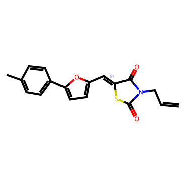 C=CCN1C(=O)S/C(=C\c2ccc(-c3ccc(C)cc3)o2)C1=O